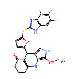 CCOC(=O)Oc1[nH]cc2c1NC1=C(C(=O)CCC1)C2c1ccc(Sc2nc3c(F)c(F)c(F)cc3[nH]2)o1